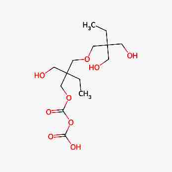 CCC(CO)(CO)COCC(CC)(CO)COC(=O)OC(=O)O